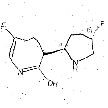 OC1=NC=C(F)CC1[C@H]1C[C@H](F)CN1